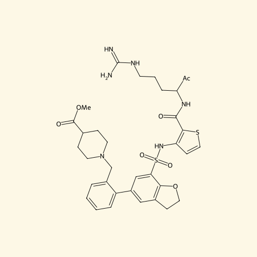 COC(=O)C1CCN(Cc2ccccc2-c2cc3c(c(S(=O)(=O)Nc4ccsc4C(=O)NC(CCCNC(=N)N)C(C)=O)c2)OCC3)CC1